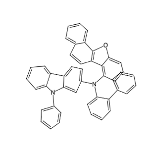 c1ccc(-c2ccccc2N(c2ccc3c4ccccc4n(-c4ccccc4)c3c2)c2cccc3oc4c5ccccc5ccc4c23)cc1